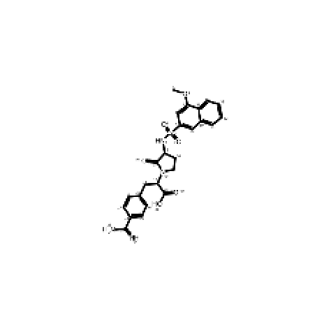 COc1cc(S(=O)(=O)NC2CCN(C(Cc3ccc(C(=N)N)cc3)C(=O)O)C2=O)cc2ccccc12